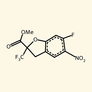 COC(=O)C1(C(F)(F)F)Cc2cc([N+](=O)[O-])c(F)cc2O1